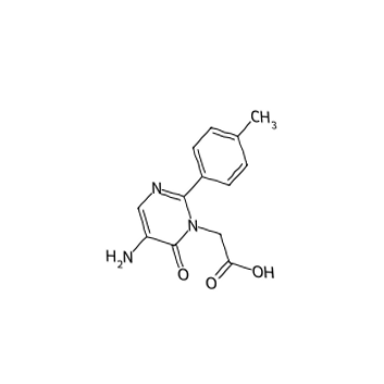 Cc1ccc(-c2ncc(N)c(=O)n2CC(=O)O)cc1